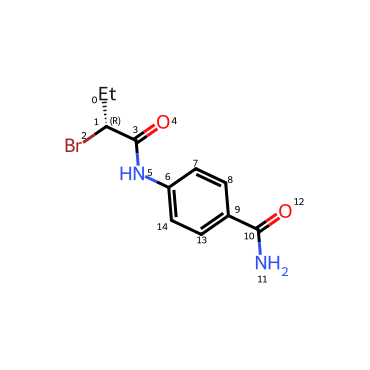 CC[C@@H](Br)C(=O)Nc1ccc(C(N)=O)cc1